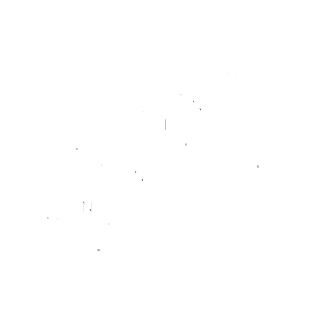 c1ccc(-c2cccc(N3c4cc(-c5ccccc5)ccc4B4c5cc6c(cc5Oc5cccc3c54)c3c4ccccc4c(N(c4ccccc4)c4ccccc4)cc3n6-c3ccccc3)c2)cc1